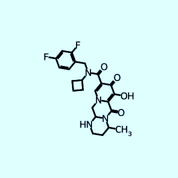 CC1CCNC2Cn3cc(C(=O)N(Cc4ccc(F)cc4F)C4CCC4)c(=O)c(O)c3C(=O)N12